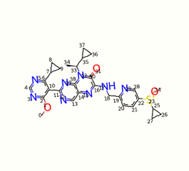 COc1ncnc(C2CC2)c1-c1ncc2nc(NCc3ccc([S+]([O-])C4CC4)cn3)c(=O)n([C@@H](C)C3CC3)c2n1